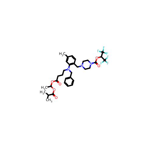 Cc1ccc(CN2CCN(C(=O)OC(C(F)(F)F)C(F)(F)F)CC2)c(N(CCCC(=O)OC(C)OC(=O)C(C)C)Cc2ccccc2)c1